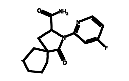 NC(=O)C1CC2(C[CH]CCC2)C(=O)N1c1cc(F)ccn1